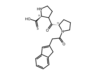 O=C(C1CCN[C@@H]1C(O)=S)[C@@H]1CCCN1C(=O)CC1=Cc2ccccc2C1